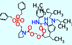 CCC(CC(=O)OCOC(=O)N1CCCC1COP(=O)(OCc1ccccc1)OCc1ccccc1)c1ccc(N(CC(C)C)CC(C)C)c(NC(=O)Nc2ccc(C)cc2)c1